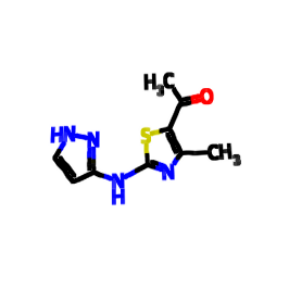 CC(=O)c1sc(Nc2cc[nH]n2)nc1C